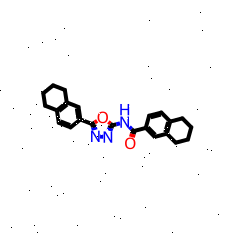 O=C(Nc1nnc(-c2ccc3c(c2)CCCC3)o1)c1ccc2c(c1)CCCC2